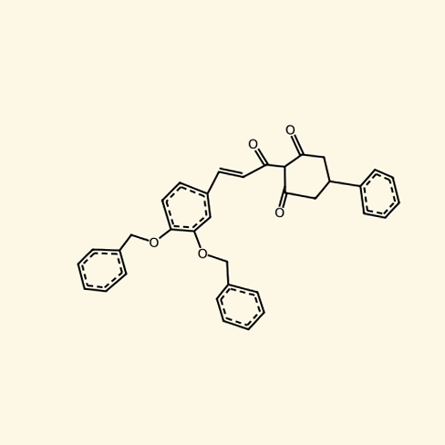 O=C(C=Cc1ccc(OCc2ccccc2)c(OCc2ccccc2)c1)C1C(=O)CC(c2ccccc2)CC1=O